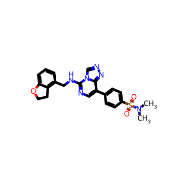 CN(C)S(=O)(=O)c1ccc(-c2cnc(NCc3cccc4c3CCO4)n3cnnc23)cc1